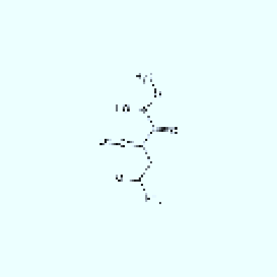 CON(O)C(=O)C(=C=O)CC(N)=O